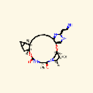 CC[C@@H]1[C@@H]2CN(C(=O)[C@H](C(C)(C)C)NC(=O)O[C@@H]3CC4CC4[C@H]3CCCCCC3=N/C(=C/C=N)NC=C3O2)[C@@H]1C(C)=O